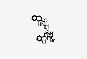 O=C(NCCNc1cc(-c2ccccc2Cl)nc2c(Br)cnn12)C1CCc2ccccc2C1